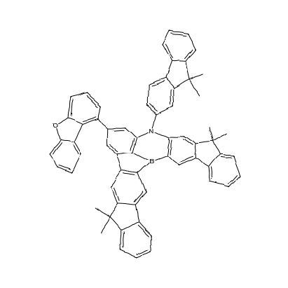 CC1(C)c2ccccc2-c2ccc(N3c4cc5c(cc4B4c6cc7c(cc6-c6cc(-c8cccc9oc%10ccccc%10c89)cc3c64)C(C)(C)c3ccccc3-7)-c3ccccc3C5(C)C)cc21